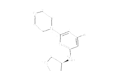 Ic1cc(N[C@H]2CCOC2)nc(N2CCOCC2)c1